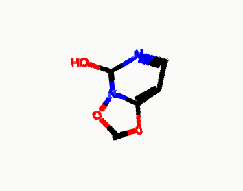 OC1N=CC=C2OCON21